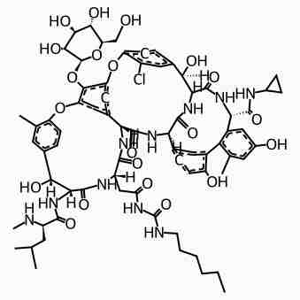 CCCCCCNC(=O)NC(=O)C[C@@H]1NC(=O)[C@H](NC(=O)[C@@H](CC(C)C)NC)[C@H](O)c2ccc(c(C)c2)Oc2cc3cc(c2O[C@@H]2O[C@H](CO)[C@@H](O)[C@H](O)[C@H]2O)Oc2ccc(cc2Cl)[C@@H](O)[C@@H]2NC(=O)[C@H](NC(=O)[C@@H]3NC1=O)c1ccc(O)c(c1)-c1c(C)cc(O)cc1[C@@H](C(=O)NC1CC1)NC2=O